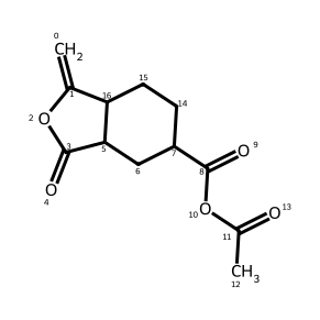 C=C1OC(=O)C2CC(C(=O)OC(C)=O)CCC12